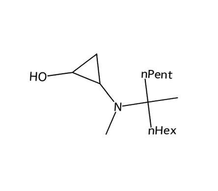 CCCCCCC(C)(CCCCC)N(C)C1CC1O